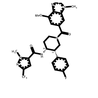 COc1cc(C(=O)N2CC[C@@H](NC(=O)c3cc(C(F)(F)F)nn3C)[C@@H](c3ccc(F)cc3)C2)cc2c1ncn2C